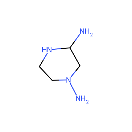 NC1CN(N)CCN1